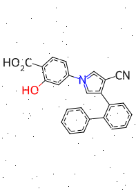 N#Cc1cn(-c2ccc(C(=O)O)c(O)c2)cc1-c1ccccc1-c1ccccc1